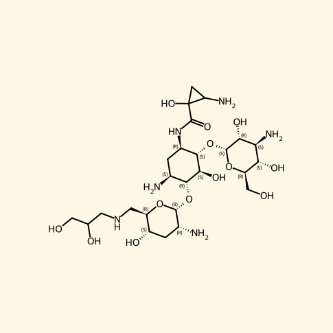 NC1CC1(O)C(=O)N[C@@H]1C[C@H](N)[C@@H](O[C@H]2O[C@H](CNCC(O)CO)[C@@H](O)C[C@H]2N)[C@H](O)[C@H]1O[C@H]1O[C@H](CO)[C@@H](O)[C@H](N)[C@H]1O